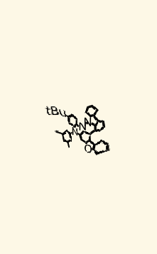 Cc1cc(C)cc(-n2c3cc4oc5ccccc5c4c4c3-n(c3ccc(C(C)(C)C)cc32)n2c3ccccc3c3cccc4c32)c1